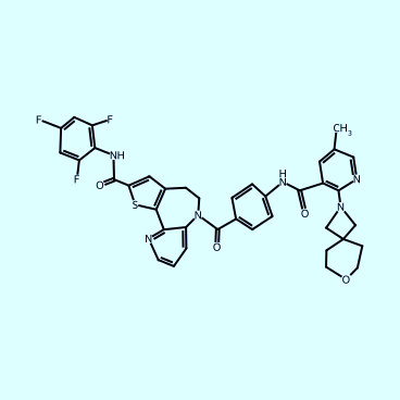 Cc1cnc(N2CC3(CCOCC3)C2)c(C(=O)Nc2ccc(C(=O)N3CCc4cc(C(=O)Nc5c(F)cc(F)cc5F)sc4-c4ncccc43)cc2)c1